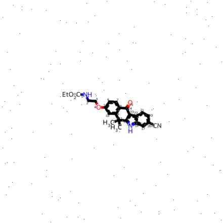 CCOC(=O)NCCOc1ccc2c(c1)C(C)(C)c1[nH]c3cc(C#N)ccc3c1C2=O